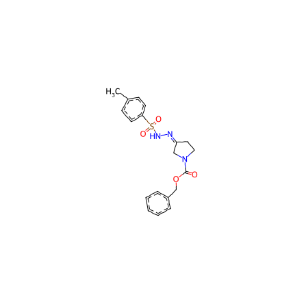 Cc1ccc(S(=O)(=O)N/N=C2/CCN(C(=O)OCc3ccccc3)C2)cc1